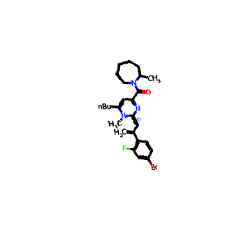 C=C(/C=C1/N=C(C(=O)N2CCCCCC2C)C=C(CCCC)N1C)c1ccc(Br)cc1F